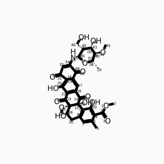 COC(=O)c1c(C)cc2c(c1O)[C@]1(O)C(=O)c3cc4c(c(O)c3C(=O)[C@]1(OC)[C@H](O)C2)C(=O)C=C(N[C@H]1O[C@@H](C)[C@H](OC)[C@@H](O)[C@H]1CO)C4=O